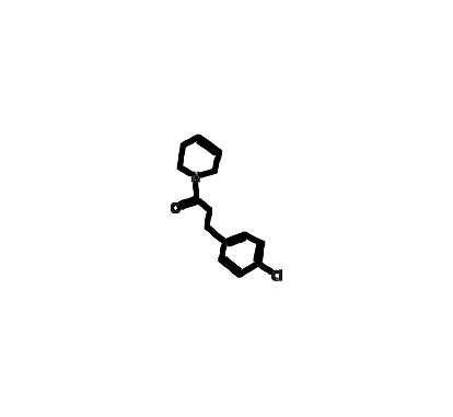 O=C(CCc1ccc(Cl)cc1)N1CC=CCC1